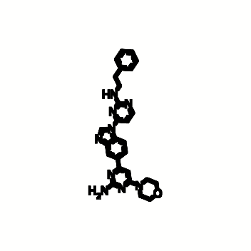 Nc1nc(-c2ccc3c(c2)ncn3-c2ccnc(NCCc3ccccc3)n2)cc(N2CCOCC2)n1